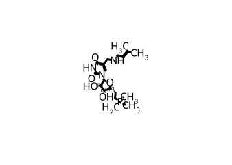 C=P(C)(C)CC[C@H]1OC(n2cc(CNCC=C(C)C)c(=O)[nH]c2=O)[C@H](O)[C@@H]1O